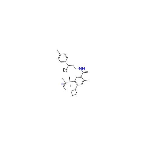 C=C(NCCC(CC)c1ccc(C)cc1)c1cc(C(C)(C)/C(C)=C\C)c(C2CCC2)cc1C